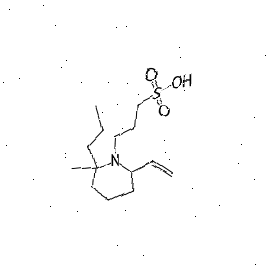 C=CC1CCCC(C)(CCC)N1CCCS(=O)(=O)O